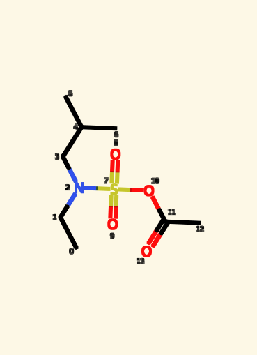 CCN(CC(C)C)S(=O)(=O)OC(C)=O